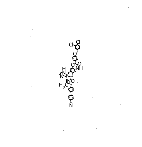 C[C@@H](Cc1ccc(-c2ccc(C#N)cc2)cc1)NC(=O)C1Cc2cc3c(cc2CN1Cc1ncc[nH]1)O[C@@H](c1ccc(OCc2ccc(Cl)c(Cl)c2)cc1)C(=O)N3